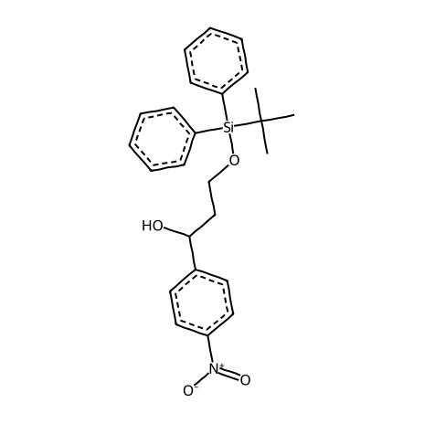 CC(C)(C)[Si](OCCC(O)c1ccc([N+](=O)[O-])cc1)(c1ccccc1)c1ccccc1